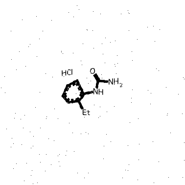 CCc1ccccc1NC(N)=O.Cl